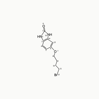 O=c1[nH]c2ccc(OCCCCBr)cc2[nH]1